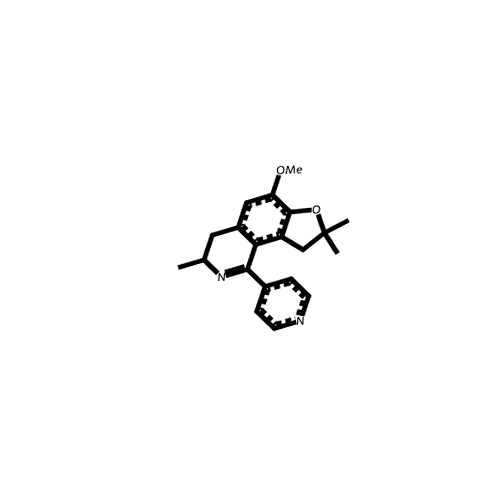 COc1cc2c(c3c1OC(C)(C)C3)C(c1ccncc1)=NC(C)C2